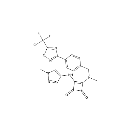 CN(Cc1ccc(-c2noc(C(F)(F)Cl)n2)cc1)c1c(Nc2cnn(C)c2)c(=O)c1=O